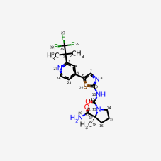 CC(C)(c1cc(-c2cnc(NC(=O)N3CCC[C@@]3(C)C(N)=O)s2)ccn1)C(F)(F)F